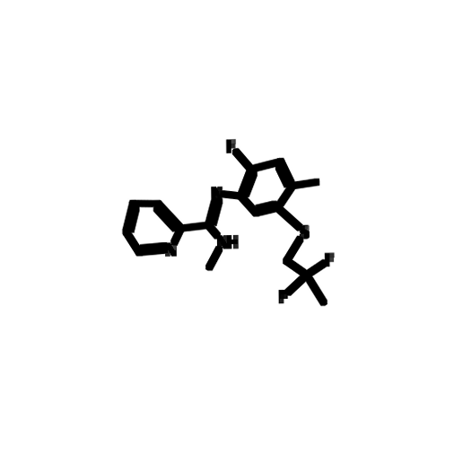 CN/C(=N\c1cc(SCC(C)(F)F)c(C)cc1F)c1ccccn1